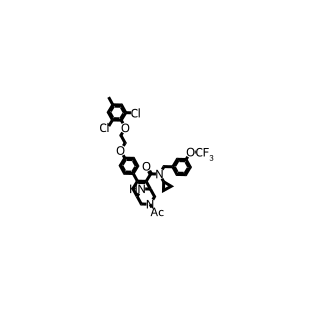 CC(=O)N1CC2CC(c3ccc(OCCOc4c(Cl)cc(C)cc4Cl)cc3)=C(C(=O)N(Cc3cccc(OC(F)(F)F)c3)C3CC3)C(C1)N2